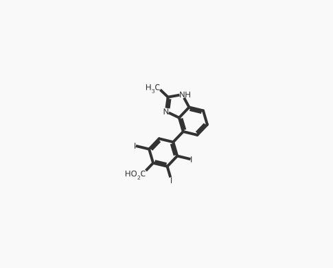 Cc1nc2c(-c3cc(I)c(C(=O)O)c(I)c3I)cccc2[nH]1